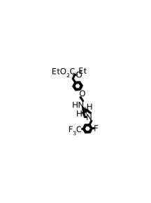 CCOC(=O)[C@H](Cc1ccc(OCCN[C@H]2[C@@H]3CN(Cc4cc(C(F)(F)F)ccc4F)C[C@@H]32)cc1)OCC